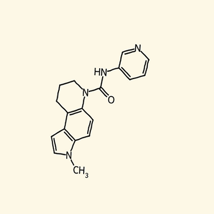 Cn1ccc2c3c(ccc21)N(C(=O)Nc1cccnc1)CCC3